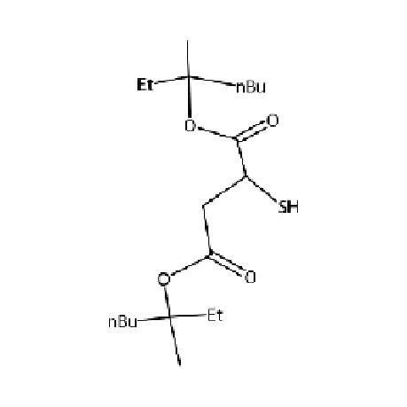 CCCCC(C)(CC)OC(=O)CC(S)C(=O)OC(C)(CC)CCCC